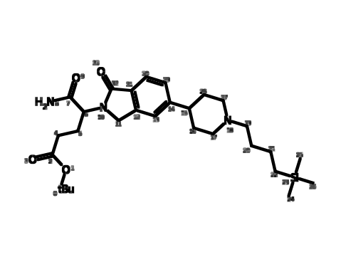 CC(C)(C)OC(=O)CCC(C(N)=O)N1Cc2cc(C3CCN(CCCC[Si](C)(C)C)CC3)ccc2C1=O